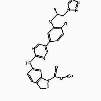 C[C@@H](Cn1cnnn1)Oc1cc(-c2cnc(Nc3ccc4c(c3)N(C(=O)OC(C)(C)C)CC4)nc2)ccc1Cl